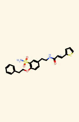 NS(=O)(=O)c1cc(CCNC(=O)/C=C/c2cccs2)ccc1OCCc1ccccc1